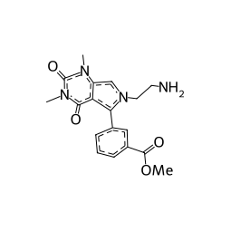 COC(=O)c1cccc(-c2c3c(=O)n(C)c(=O)n(C)c3cn2CCN)c1